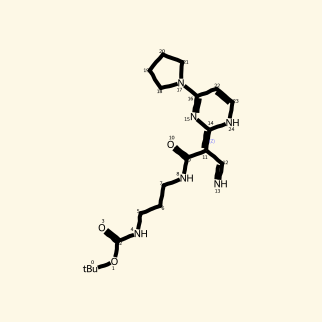 CC(C)(C)OC(=O)NCCCNC(=O)/C(C=N)=C1\N=C(N2CCCC2)C=CN1